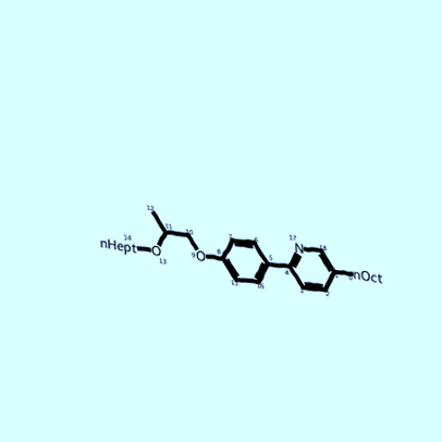 CCCCCCCCc1ccc(-c2ccc(OCC(C)OCCCCCCC)cc2)nc1